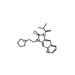 C=C(C(C)C)n1c(=O)n(CCN2CCCC2)c2cc3ncccc3cc21